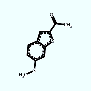 CSc1ccc2cc(C(C)=O)sc2c1